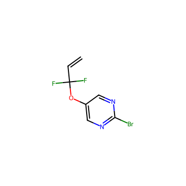 C=CC(F)(F)Oc1cnc(Br)nc1